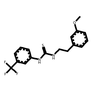 COc1cccc(CCNC(=S)Nc2cccc(C(F)(F)F)c2)c1